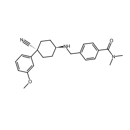 COc1cccc([C@]2(C#N)CC[C@H](NCc3ccc(C(=O)N(C)C)cc3)CC2)c1